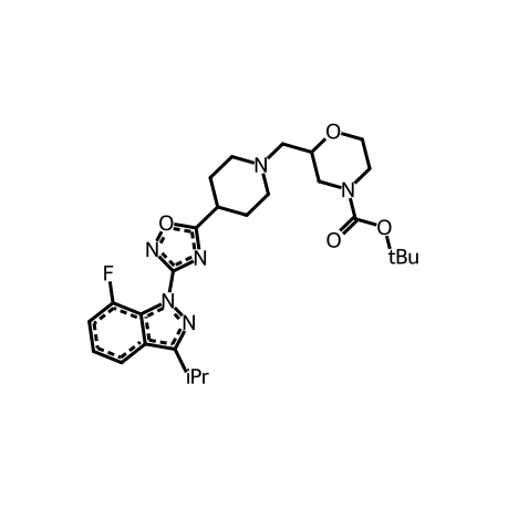 CC(C)c1nn(-c2noc(C3CCN(CC4CN(C(=O)OC(C)(C)C)CCO4)CC3)n2)c2c(F)cccc12